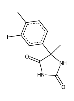 Cc1ccc(C2(C)NC(=O)NC2=O)cc1I